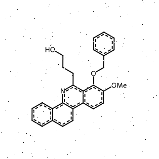 COc1ccc2c(c(CCCO)nc3c4ccccc4ccc23)c1OCc1ccccc1